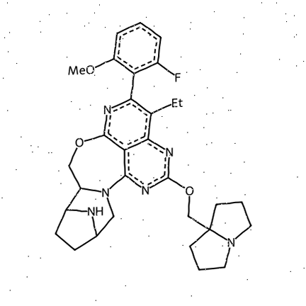 CCc1c(-c2c(F)cccc2OC)nc2c3c(nc(OCC45CCCN4CCC5)nc13)N1CC3CCC(N3)C1CO2